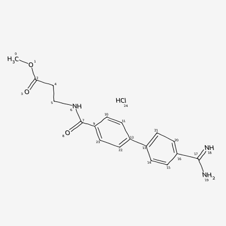 COC(=O)CCNC(=O)c1ccc(-c2ccc(C(=N)N)cc2)cc1.Cl